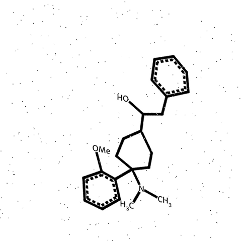 COc1ccccc1C1(N(C)C)CCC(C(O)Cc2ccccc2)CC1